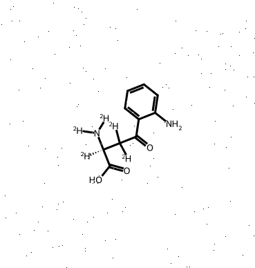 [2H]N([2H])[C@]([2H])(C(=O)O)C([2H])([2H])C(=O)c1ccccc1N